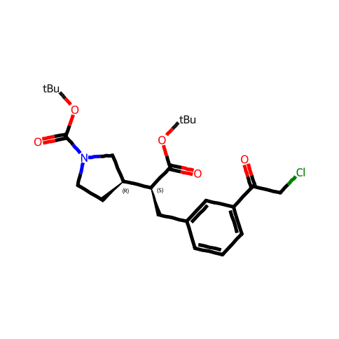 CC(C)(C)OC(=O)[C@@H](Cc1cccc(C(=O)CCl)c1)[C@H]1CCN(C(=O)OC(C)(C)C)C1